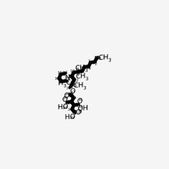 CCCCCCCC(C)(C)CC(CC(C)(C)COC(=O)CC(C(=O)O)C(CC(=O)O)C(=O)O)N1CCCCC1